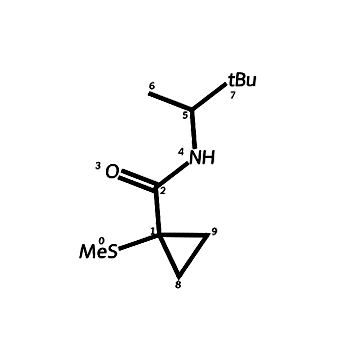 CSC1(C(=O)NC(C)C(C)(C)C)CC1